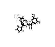 O=C(/N=C(/Nc1cc(F)cc(Cl)c1)Nc1cc(C(F)(F)F)[nH]n1)C1CCCC1